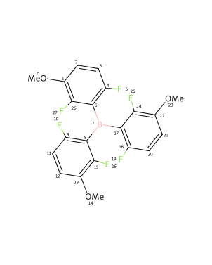 COc1ccc(F)c(B(c2c(F)ccc(OC)c2F)c2c(F)ccc(OC)c2F)c1F